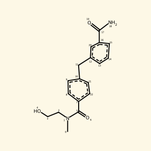 CN(CCO)C(=O)c1ccc(Cc2cccc(C(N)=O)c2)cc1